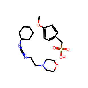 C(=NCCN1CCOCC1)=NC1CCCCC1.COc1ccc(CS(=O)(=O)O)cc1